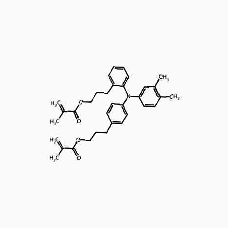 C=C(C)C(=O)OCCCc1ccc(N(c2ccc(C)c(C)c2)c2ccccc2CCCOC(=O)C(=C)C)cc1